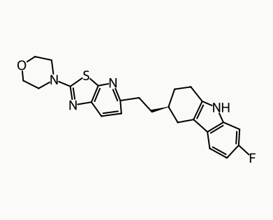 Fc1ccc2c3c([nH]c2c1)CC[C@H](CCc1ccc2nc(N4CCOCC4)sc2n1)C3